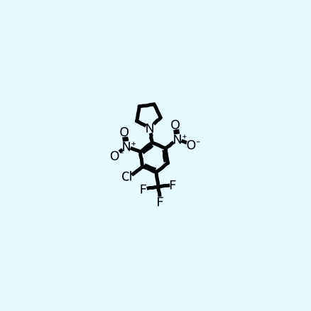 O=[N+]([O-])c1cc(C(F)(F)F)c(Cl)c([N+](=O)[O-])c1N1CCCC1